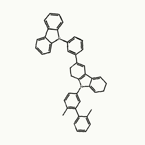 Cc1ccccc1-c1cc(-n2c3c(c4c2=CCCC=4)C=C(c2cccc(-n4c5ccccc5c5ccccc54)c2)CC3)ccc1C